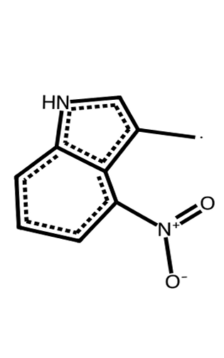 [CH2]c1c[nH]c2cccc([N+](=O)[O-])c12